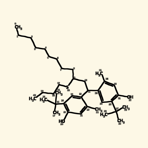 CCCCCCCCCC(CC(c1cc(C(C)(C)C)c(O)cc1C)c1cc(C(C)(C)C)c(O)cc1C)SCCCC